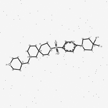 O=S(=O)(c1ccc(N2CCC(F)(F)CC2)nc1)N1CCC2(CCCN(CC3CCOCC3)C2)CC1